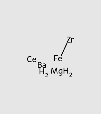 [BaH2].[Ce].[Fe][Zr].[MgH2]